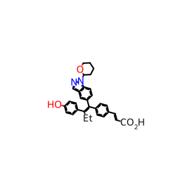 CCC(=C(c1ccc(C=CC(=O)O)cc1)c1ccc2c(cnn2C2CCCCO2)c1)c1ccc(O)cc1